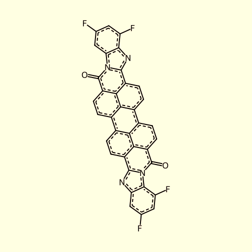 O=c1c2ccc3c4ccc5c6c(ccc(c7ccc(c2c73)c2nc3c(F)cc(F)cc3n12)c46)c(=O)n1c5nc2cc(F)cc(F)c21